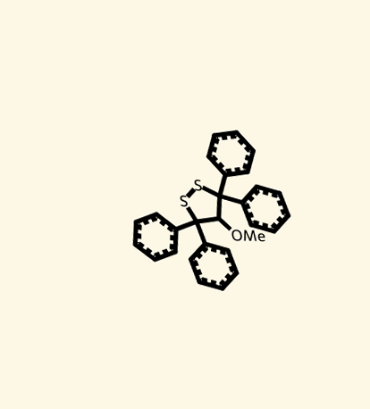 COC1C(c2ccccc2)(c2ccccc2)SSC1(c1ccccc1)c1ccccc1